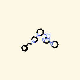 c1ccc(CCN2CCC(N3CCCCC(Nc4nccc(N5CCCCCC5)n4)C3)CC2)cc1